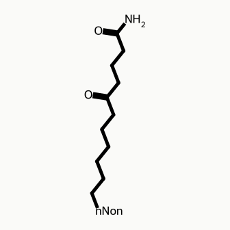 CCCCCCCCCCCCCCCC(=O)CCCC(N)=O